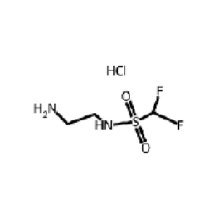 Cl.NCCNS(=O)(=O)C(F)F